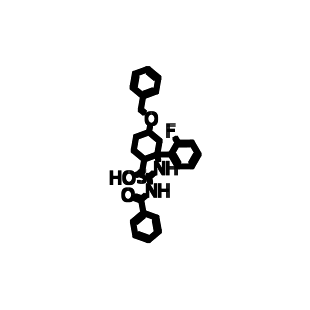 O=C(NC(=S)NC1(c2ccccc2F)CC(OCc2ccccc2)CCC1CO)c1ccccc1